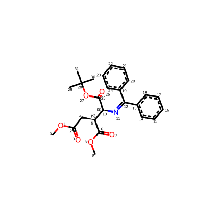 COC(=O)C[C@H](C(=O)OC)[C@H](N=C(c1ccccc1)c1ccccc1)C(=O)OC(C)(C)C